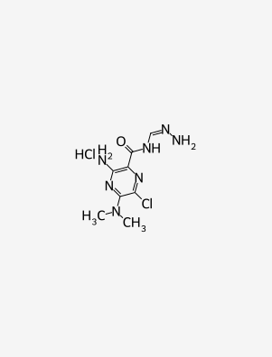 CN(C)c1nc(N)c(C(=O)N/C=N\N)nc1Cl.Cl